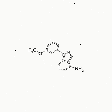 Nc1cccc2c1cnn2-c1cccc(OC(F)(F)F)c1